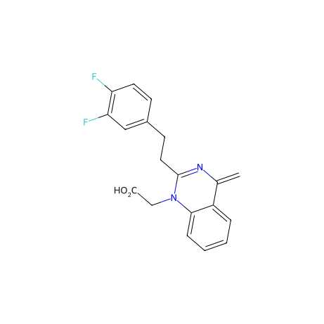 C=C1N=C(CCc2ccc(F)c(F)c2)N(CC(=O)O)c2ccccc21